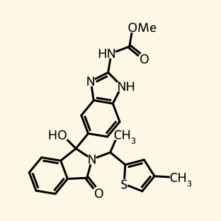 COC(=O)Nc1nc2cc(C3(O)c4ccccc4C(=O)N3C(C)c3cc(C)cs3)ccc2[nH]1